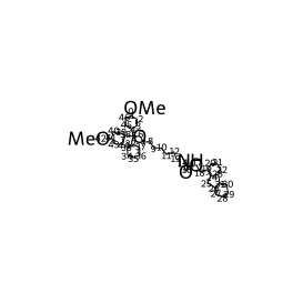 COc1ccc(C(OCCCCCCCNC(=O)OCc2cccc3c2Cc2ccccc2-3)(c2ccccc2)c2ccc(OC)cc2)cc1